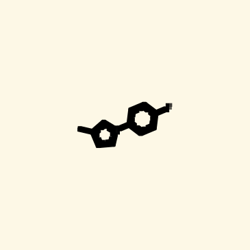 Cc1ccn(-c2ccc(F)cc2)c1